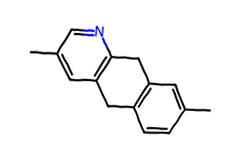 Cc1ccc2c(c1)Cc1ncc(C)cc1C2